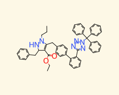 CCCN1NC(Cc2ccccc2)C(C(=O)OCC)=C1Cc1ccc(-c2ccccc2-c2nnn(C(c3ccccc3)(c3ccccc3)c3ccccc3)n2)cc1